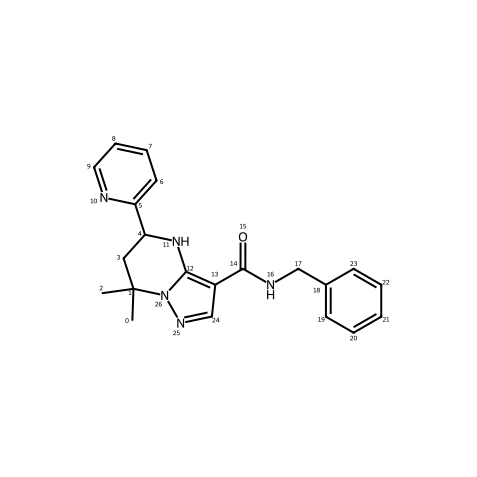 CC1(C)CC(c2ccccn2)Nc2c(C(=O)NCc3ccccc3)cnn21